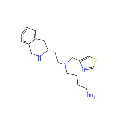 NCCCCN(CC[C@H]1Cc2ccccc2CN1)Cc1cscn1